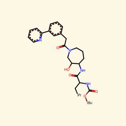 CC(C)CC(NC(=O)OC(C)(C)C)C(=O)NC1CCCN(C(=O)Cc2cccc(-c3ccccn3)c2)CC1O